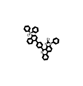 CCc1nc2c3c(-c4ccc(-c5ccc(P(=O)(c6ccccc6)c6ccccc6)c6ccccc56)cc4)nc4ccccc4c3ccc2n1-c1ccccc1